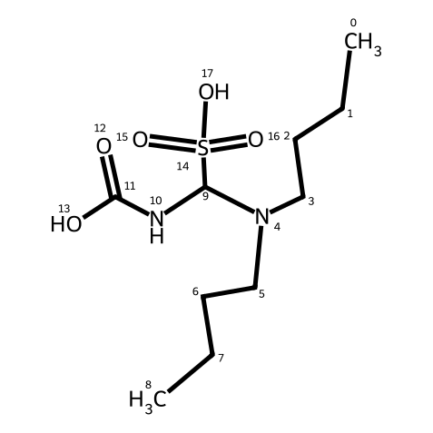 CCCCN(CCCC)C(NC(=O)O)S(=O)(=O)O